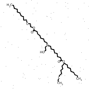 CCCCCCCCCCOCCOC(=O)CCCCCCCN(CCO)CCCCCCCC(=O)OC(CCCCCCCC)CCCCCCCC